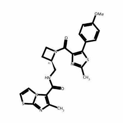 COc1ccc(-c2sc(C)nc2C(=O)N2CC[C@@H]2CNC(=O)c2c(C)nc3sccn23)cc1